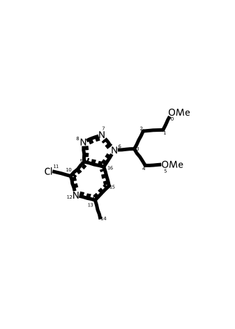 COCCC(COC)n1nnc2c(Cl)nc(C)cc21